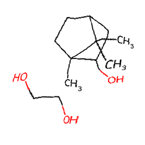 CC1(C)C2CCC1(C)C(O)C2.OCCO